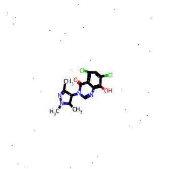 CC1=NN(C)C(C)C1n1cnc2c(O)c(Cl)cc(Cl)c2c1=O